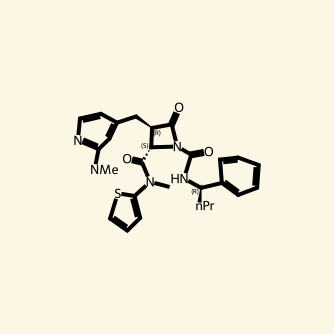 CCC[C@@H](NC(=O)N1C(=O)[C@H](Cc2ccnc(NC)c2)[C@H]1C(=O)N(C)c1cccs1)c1ccccc1